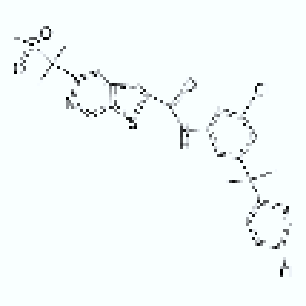 CC(C)(c1ccc(Cl)cc1)c1cc(Cl)cc(NC(=O)c2cc3cc(C(C)(C)S(C)(=O)=O)ncc3s2)c1